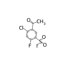 CC(=O)c1cc(S(=O)(=O)I)c(F)cc1Cl